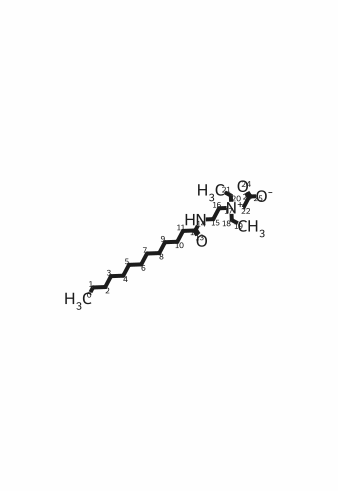 CCCCCCCCCCCCC(=O)NCC[N+](CC)(CC)CC(=O)[O-]